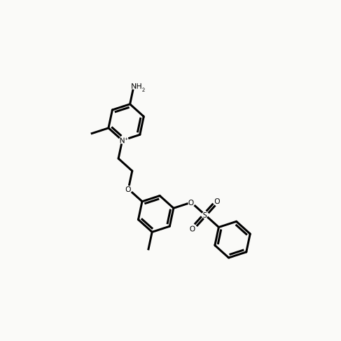 Cc1cc(OCC[n+]2ccc(N)cc2C)cc(OS(=O)(=O)c2ccccc2)c1